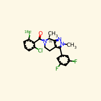 C[C@H]1c2nn(C)c(-c3cc(F)cc(F)c3)c2CCN1C(=O)c1c([18F])cccc1Cl